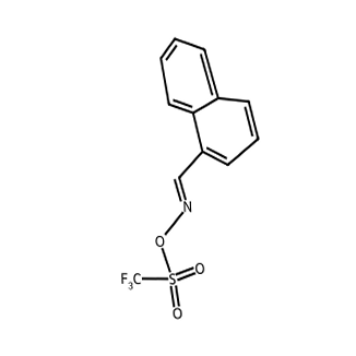 O=S(=O)(ON=Cc1cccc2ccccc12)C(F)(F)F